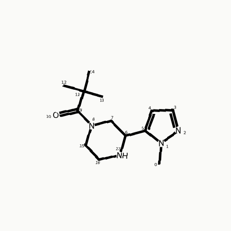 Cn1nccc1C1CN(C(=O)C(C)(C)C)CCN1